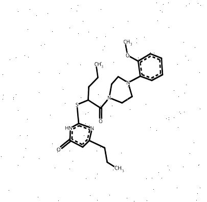 CCCc1cc(=O)[nH]c(SC(CCC)C(=O)N2CCN(c3ccccc3OC)CC2)n1